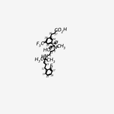 CN(CC(O)CNC(C)(C)CCCc1ccccc1F)S(=O)(=O)c1cc(CCC(=O)O)cc(C(F)(F)F)c1